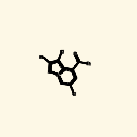 CCC(=O)c1cc(Cl)cn2nc(CC)c(Cl)c12